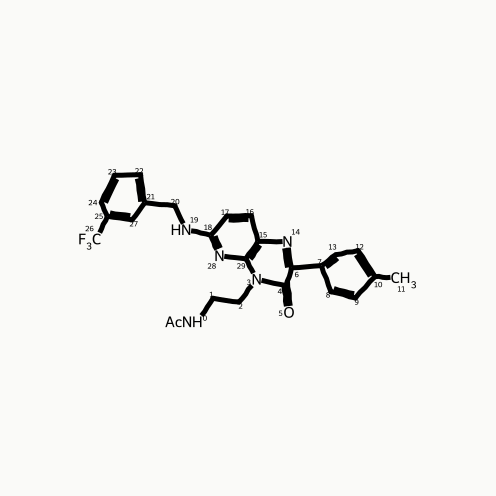 CC(=O)NCCn1c(=O)c(-c2ccc(C)cc2)nc2ccc(NCc3cccc(C(F)(F)F)c3)nc21